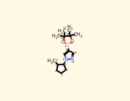 CC1CCCC1n1cc(B2OC(C)(C)C(C)(C)O2)cn1